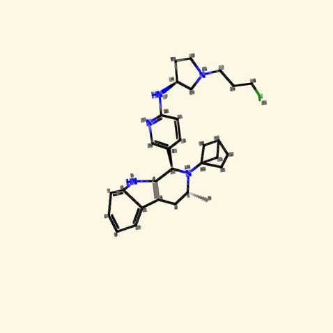 C[C@@H]1Cc2c([nH]c3ccccc23)[C@@H](c2ccc(N[C@H]3CCN(CCCF)C3)nc2)N1C12CCC(C1)C2